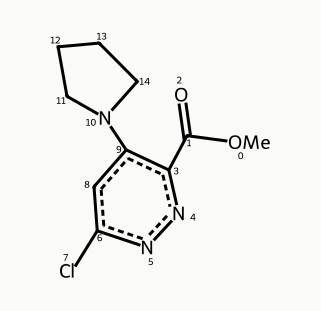 COC(=O)c1nnc(Cl)cc1N1CCCC1